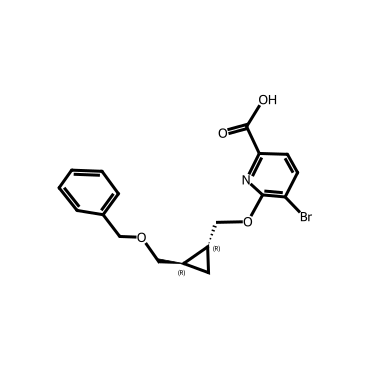 O=C(O)c1ccc(Br)c(OC[C@@H]2C[C@H]2COCc2ccccc2)n1